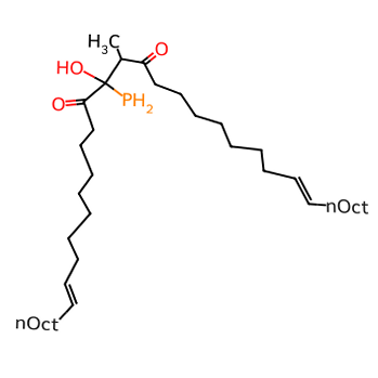 CCCCCCCCC=CCCCCCCCC(=O)C(C)C(O)(P)C(=O)CCCCCCCC=CCCCCCCCC